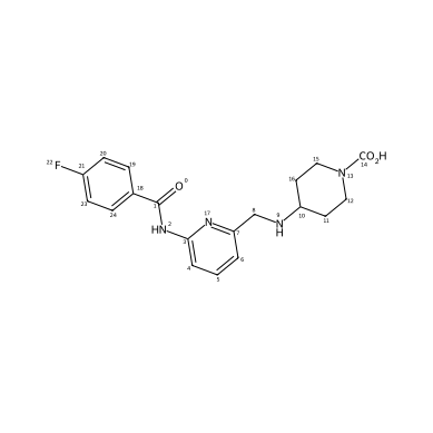 O=C(Nc1cccc(CNC2CCN(C(=O)O)CC2)n1)c1ccc(F)cc1